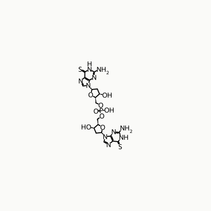 Nc1nc2c(ncn2[C@H]2C[C@@H](O)[C@@H](COP(=O)(O)OC[C@H]3O[C@@H](n4cnc5c(=S)[nH]c(N)nc54)C[C@H]3O)O2)c(=S)[nH]1